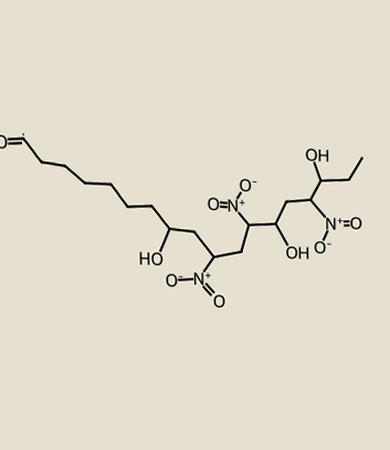 CCC(O)C(CC(O)C(CC(CC(O)CCCCCC[C]=O)[N+](=O)[O-])[N+](=O)[O-])[N+](=O)[O-]